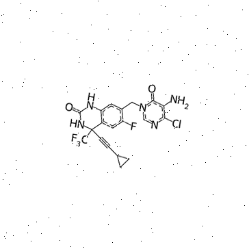 Nc1c(Cl)ncn(Cc2cc3c(cc2F)C(C#CC2CC2)(C(F)(F)F)NC(=O)N3)c1=O